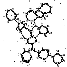 c1ccc(-c2ccc(N(c3ccccc3)c3ccc4c(C(c5ccccc5)c5cccc6c5sc5ccccc56)c5nc(-c6ccccc6)oc5cc4c3)cc2)cc1